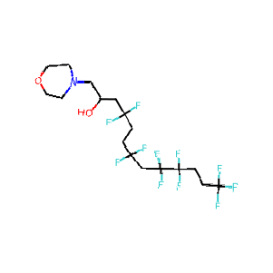 OC(CN1CCOCC1)CC(F)(F)CCC(F)(F)CC(F)(F)C(F)(F)CCC(F)(F)F